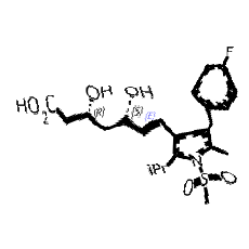 Cc1c(-c2ccc(F)cc2)c(/C=C/[C@@H](O)C[C@@H](O)CC(=O)O)c(C(C)C)n1S(C)(=O)=O